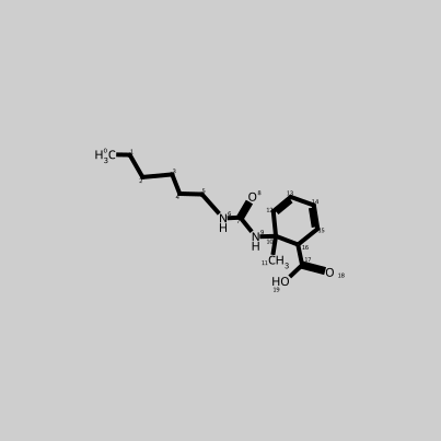 CCCCCCNC(=O)NC1(C)C=CC=CC1C(=O)O